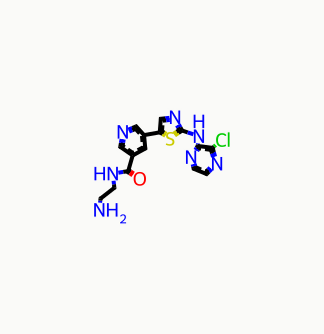 NCCNC(=O)c1cncc(-c2cnc(Nc3nccnc3Cl)s2)c1